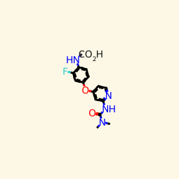 CN(C)C(=O)Nc1cc(Oc2ccc(NC(=O)O)c(F)c2)ccn1